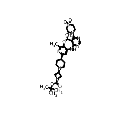 Cc1nc(C2CCN(C3CN(C(=O)OC(C)(C)C)C3)CC2)cc2c1OC(C)c1c(ncnc1N1CCS(=O)(=O)CC1)N2